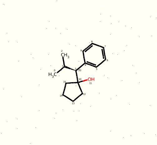 CC(C)[C@@H](c1ccccc1)C1(O)CCCC1